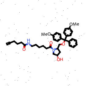 C#CCCCC(=O)NCCCCCC(=O)N1C[C@H](O)CC1COC(c1ccccc1)(c1ccc(OC)cc1)c1ccc(OC)cc1